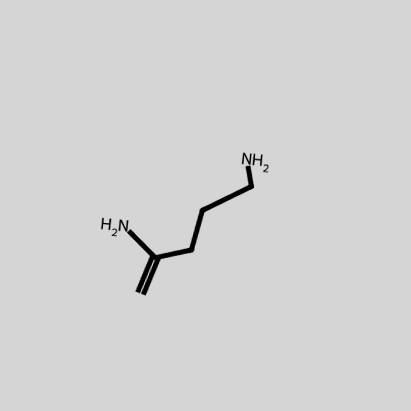 C=C(N)CCCN